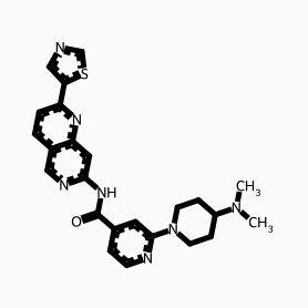 CN(C)C1CCN(c2cc(C(=O)Nc3cc4nc(-c5cncs5)ccc4cn3)ccn2)CC1